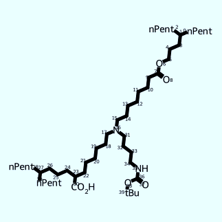 CCCCCC(CCCCC)CCCOC(=O)CCCCCCCN(CCCCCCC(CCCC(CCCCC)CCCCC)C(=O)O)CCCCNC(=O)OC(C)(C)C